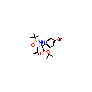 C=C(C)C[C@@](N[S@@+]([O-])C(C)(C)C)(C(=O)OC(C)C)c1ccc(Br)cc1